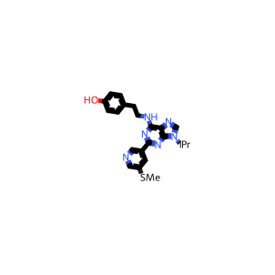 CSc1cncc(-c2nc(NCCc3ccc(O)cc3)c3ncn(C(C)C)c3n2)c1